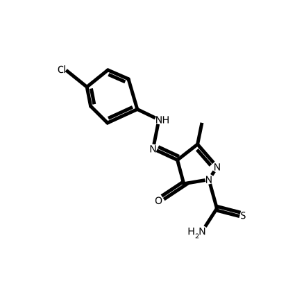 CC1=NN(C(N)=S)C(=O)/C1=N/Nc1ccc(Cl)cc1